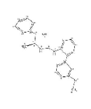 COc1cccc(-c2ccccc2PCN[C@@H](C)C(O)c2ccccc2)c1